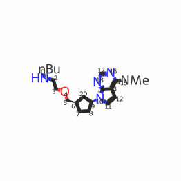 CCCCNCCOC[C@@H]1CC[C@H](n2ccc3c(NC)ncnc32)C1